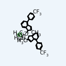 CC1=Cc2c(-c3ccc(C(F)(F)F)cc3)cccc2[CH]1[Zr]([CH]1C(C)=Cc2c(-c3ccc(C(F)(F)F)cc3)cccc21)[SiH](C)C.CCl